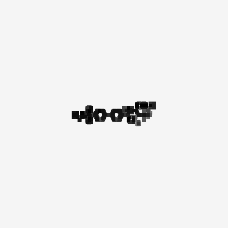 CC(C)(F)C[C@H](N[C@@H](c1ccc(-c2ccc(S(N)(=O)=O)cc2)cc1)C(F)(F)F)C(=O)O